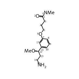 CNC(=O)CCCOc1cccc(C(CCN)OC)c1